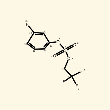 O=S(=O)(OCC(F)(F)F)Oc1cccc(F)c1